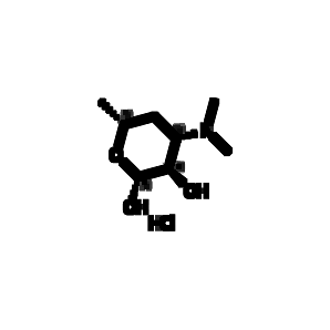 C[C@@H]1C[C@H](N(C)C)[C@@H](O)[C@H](O)O1.Cl